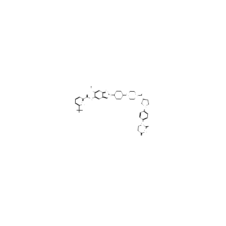 COc1cc2nn(C3CCC(N4CCN(C(=O)[C@@H]5CCN(c6ccc(N7CCC(=O)NC7=O)cc6)C5)CC4)CC3)cc2cc1NC(=O)c1cccc(C(F)(F)F)n1